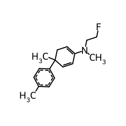 Cc1ccc(C2(C)C=CC(N(C)CCF)=CC2)cc1